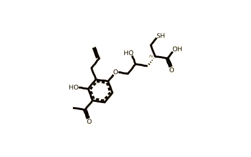 C=CCc1c(OCC(O)C[C@H](CS)C(=O)O)ccc(C(C)=O)c1O